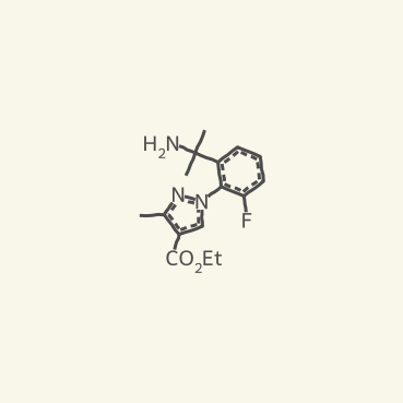 CCOC(=O)c1cn(-c2c(F)cccc2C(C)(C)N)nc1C